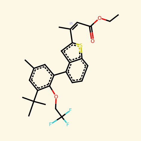 CCOC(=O)/C=C(/C)c1cc2c(-c3cc(C)cc(C(C)(C)C)c3OCC(F)(F)F)cccc2s1